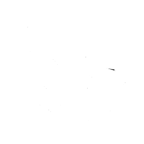 COC(=O)[C@@H]1C[C@@H](Oc2nc(-c3cccc(N(C(=O)OC(C)(C)C)C(C)C)n3)nc3ccsc23)CN1C(=O)OC(C)(C)C